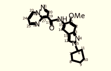 COc1cc2nn(C3CCCCC3)cc2cc1NC(=O)c1cnn2cccnc12